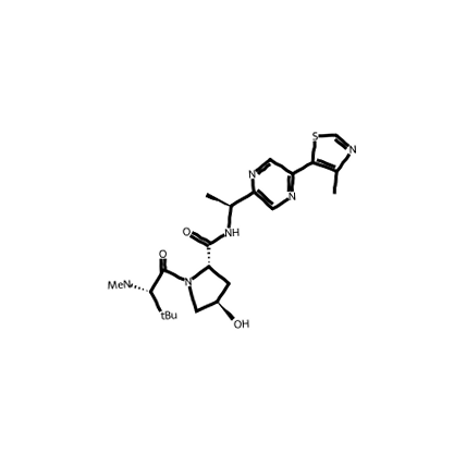 CN[C@H](C(=O)N1C[C@H](O)C[C@H]1C(=O)N[C@@H](C)c1cnc(-c2scnc2C)cn1)C(C)(C)C